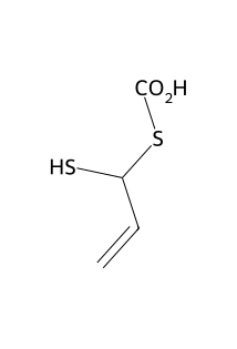 C=CC(S)SC(=O)O